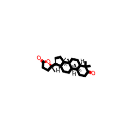 CC1(C)C(=O)CC[C@]2(C)[C@H]3CC[C@@H]4[C@@H]([C@]5(C)CCC(=O)O5)CC[C@@]4(C)[C@]3(C)CC[C@@H]12